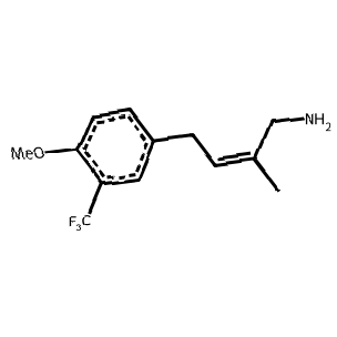 COc1ccc(C/C=C(/C)CN)cc1C(F)(F)F